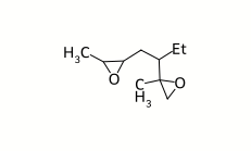 CCC(CC1OC1C)C1(C)CO1